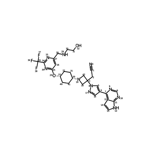 N#CCC1(n2cc(-c3ncnc4[nH]ccc34)cn2)CN([C@H]2CC[C@@H](Oc3cc(CNCCO)nc(C(F)(F)F)n3)CC2)C1